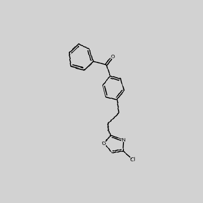 O=C(c1ccccc1)c1ccc(CCc2nc(Cl)co2)cc1